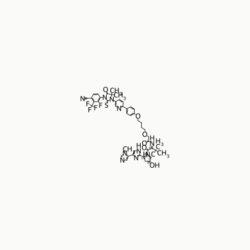 Cn1cncc1-c1c[nH]c([C@@H]2C[C@@H](O)CN2C(=O)[C@@H](NC(=O)COCCCCOc2ccc(-c3ccc(N4C(=S)N(c5ccc(C#N)c(C(F)(F)F)c5F)C(=O)C4(C)C)cn3)cc2)C(C)(C)C)n1